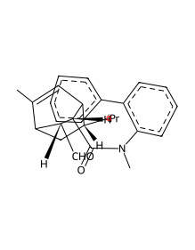 CC1=CC2[C@H](C(C)C)CC1[C@@H](C=O)[C@H]2C(=O)N(C)c1ccccc1-c1ccccc1